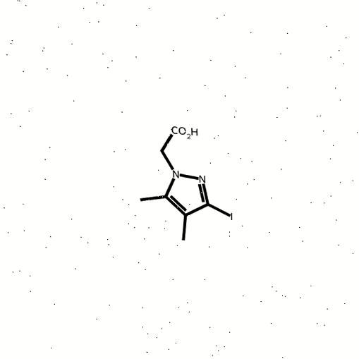 Cc1c(I)nn(CC(=O)O)c1C